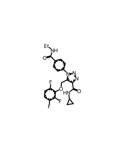 CCNC(=O)c1ccc(-n2nnc(C(=O)NC3CC3)c2COc2c(F)ccc(F)c2F)cc1